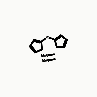 C1=CC[C]([Zr][C]2=CC=CC2)=C1.CNC.CNC